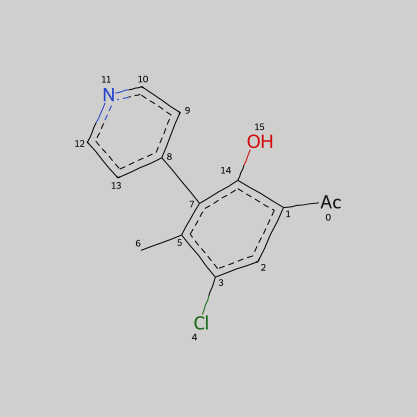 CC(=O)c1cc(Cl)c(C)c(-c2ccncc2)c1O